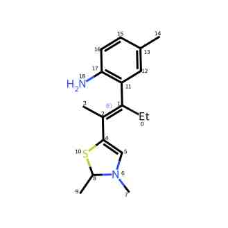 CC/C(=C(/C)C1=CN(C)C(C)S1)c1cc(C)ccc1N